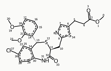 COC(=O)CCc1cnc(C[C@@H]2S[C@@H](c3cccc(OC)c3OC)c3cc(Cl)ccc3NC2=O)s1